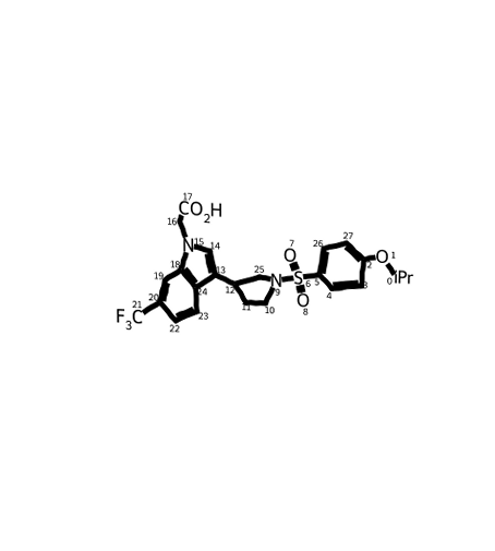 CC(C)Oc1ccc(S(=O)(=O)N2CCC(c3cn(CC(=O)O)c4cc(C(F)(F)F)ccc34)C2)cc1